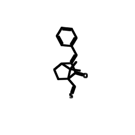 CC1(C)C2CCC1(C=S)C(=O)C2=Cc1ccccc1